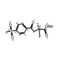 COC(=O)C(C)(CC(=O)c1ccc(S(C)(=O)=O)cc1)C(C)=O